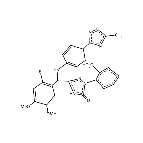 COC1=CC(F)=C(C(NC2=CCC(c3noc(C)n3)C=C2)c2nn(-c3ccccc3C(=O)O)c(=O)[nH]2)CC1OC